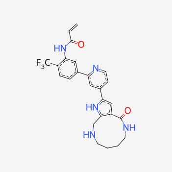 C=CC(=O)Nc1cc(-c2cc(-c3cc4c([nH]3)CNCCCCNC4=O)ccn2)ccc1C(F)(F)F